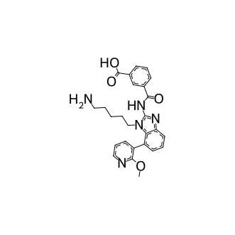 COc1ncccc1-c1cccc2nc(NC(=O)c3cccc(C(=O)O)c3)n(CCCCCN)c12